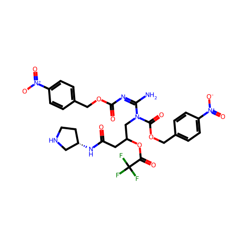 NC(=NC(=O)OCc1ccc([N+](=O)[O-])cc1)N(CC(CC(=O)N[C@H]1CCNC1)OC(=O)C(F)(F)F)C(=O)OCc1ccc([N+](=O)[O-])cc1